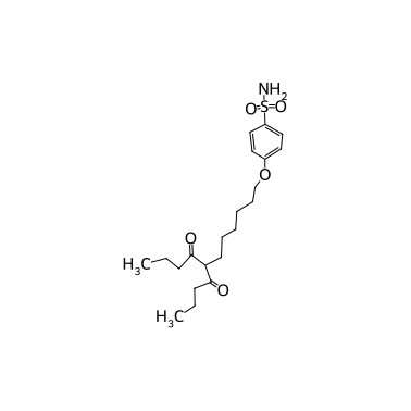 CCCC(=O)C(CCCCCCOc1ccc(S(N)(=O)=O)cc1)C(=O)CCC